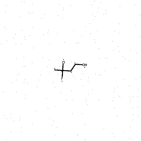 CC(F)(Cl)CCO